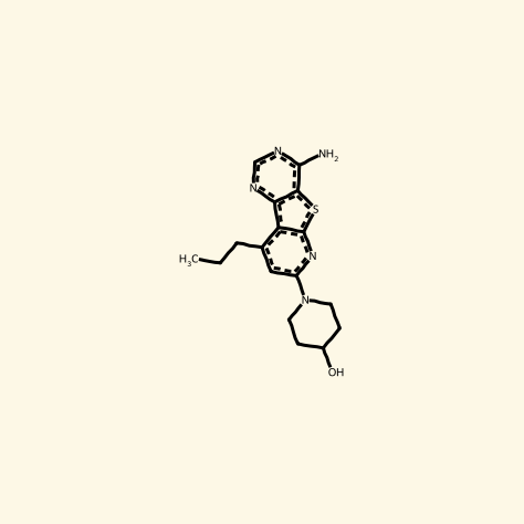 CCCc1cc(N2CCC(O)CC2)nc2sc3c(N)ncnc3c12